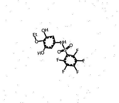 CCOc1c(O)cc(NS(=O)(=O)c2c(F)c(F)c(F)c(F)c2F)cc1O